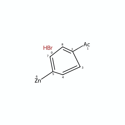 Br.CC(=O)c1cc[c]([Zn])cc1